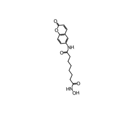 O=C(CCCCCCC(=O)Nc1ccc2oc(=O)ccc2c1)NO